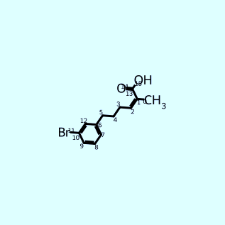 CC(=CCCCc1cccc(Br)c1)C(=O)O